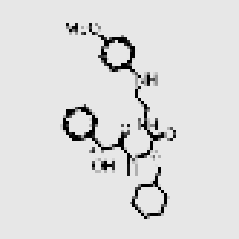 COc1ccc(NCCNC(=O)[C@H](CC2CCCCC2)NC(=O)[C@H](O)c2ccccc2)cc1